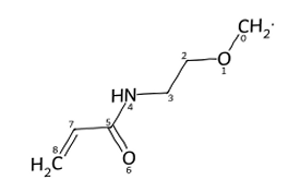 [CH2]OCCNC(=O)C=C